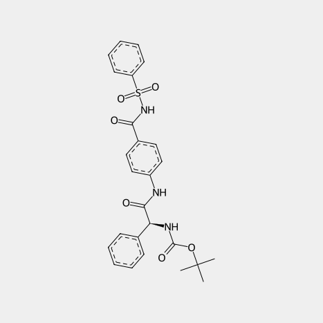 CC(C)(C)OC(=O)N[C@H](C(=O)Nc1ccc(C(=O)NS(=O)(=O)c2ccccc2)cc1)c1ccccc1